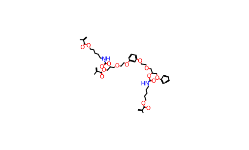 C=C(C)C(=O)OCCCCCNC(=O)OC(COCCOc1cccc(OCCOCC(COc2ccccc2)OC(=O)NCCCCCOC(=O)C(=C)C)c1)COC(=O)C(=C)C